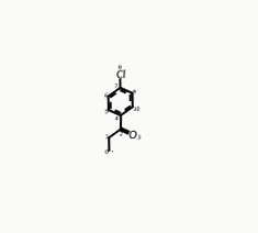 [CH2]CC(=O)c1ccc(Cl)cc1